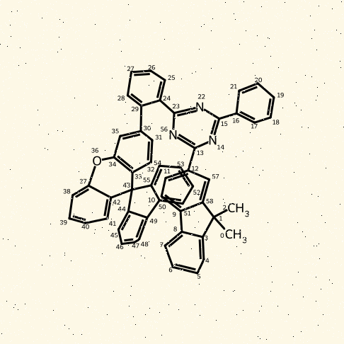 CC1(C)c2ccccc2-c2ccc(-c3nc(-c4ccccc4)nc(-c4ccccc4-c4ccc5c(c4)Oc4ccccc4C54c5ccccc5-c5ccccc54)n3)cc21